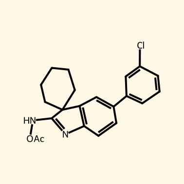 CC(=O)ONC1=Nc2ccc(-c3cccc(Cl)c3)cc2C12CCCCC2